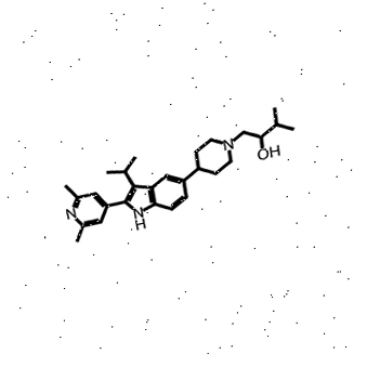 Cc1cc(-c2[nH]c3ccc(C4CCN(CC(O)C(C)C)CC4)cc3c2C(C)C)cc(C)n1